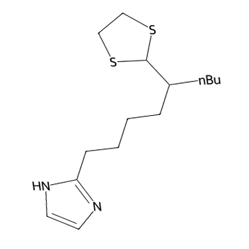 CCCCC(CCCCc1ncc[nH]1)C1SCCS1